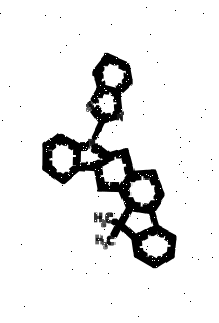 CC1(C)c2ccccc2-c2ccc3cc4c(cc3c21)c1ccccc1n4-c1nc2ccccc2s1